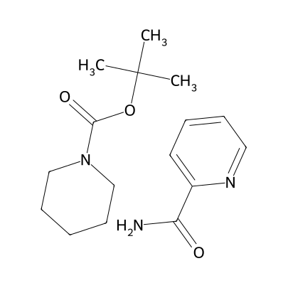 CC(C)(C)OC(=O)N1CCCCC1.NC(=O)c1ccccn1